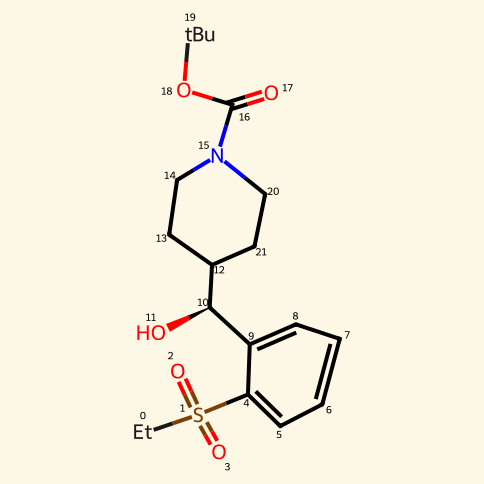 CCS(=O)(=O)c1ccccc1[C@@H](O)C1CCN(C(=O)OC(C)(C)C)CC1